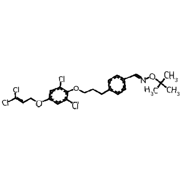 CC(C)(C)ON=Cc1ccc(CCCOc2c(Cl)cc(OCC=C(Cl)Cl)cc2Cl)cc1